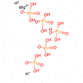 O=P(O)(O)O.O=P([O-])(O)O.O=P([O-])(O)O.O=P([O-])(O)O.O=P([O-])(O)O.[H+].[H+].[Mg+2]